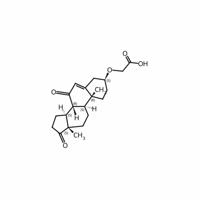 C[C@]12CC[C@H](OCC(=O)O)CC1=CC(=O)[C@@H]1[C@@H]2CC[C@]2(C)C(=O)CC[C@@H]12